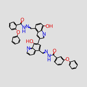 O=C(N/N=C/c1cc(-c2cnc3c(O)ccc(/C=N/NC(=O)c4ccccc4Oc4ccccc4)c3c2)c(O)c2ncccc12)c1cccc(Oc2ccccc2)c1